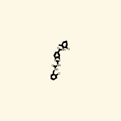 Cc1cccc(Cl)c1NC(=O)c1ccc2nc(NC(=O)NCc3ccccc3Cl)sc2c1